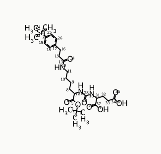 CC(C)(C)OC(=O)C(CCCCNC(=O)CCc1cc[c]([Sn]([CH3])([CH3])[CH3])cc1)NC(=O)NC(CCC(=O)O)C(=O)O